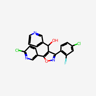 OC(c1cccnc1)c1c(-c2ccc(Cl)cc2F)noc1-c1ccc(Cl)nc1